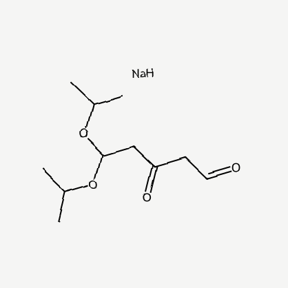 CC(C)OC(CC(=O)CC=O)OC(C)C.[NaH]